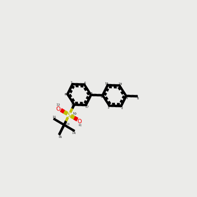 Cc1ccc(-c2cccc(S(=O)(=O)C(C)(C)C)c2)cc1